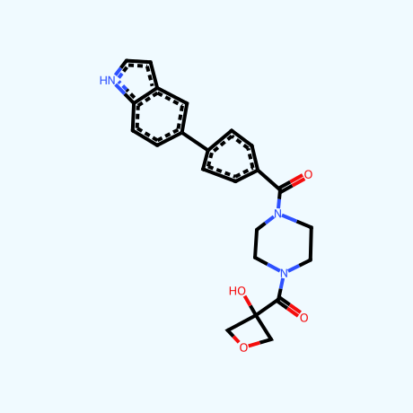 O=C(c1ccc(-c2ccc3[nH]ccc3c2)cc1)N1CCN(C(=O)C2(O)COC2)CC1